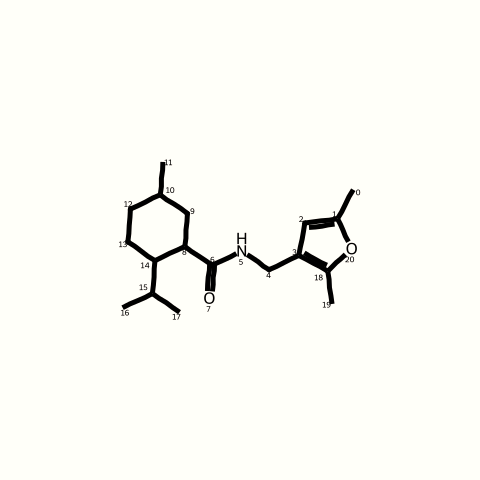 Cc1cc(CNC(=O)C2CC(C)CCC2C(C)C)c(C)o1